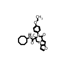 CCOc1ccc(N2C(=O)c3cc4occc4n3CC2(C)C(=O)NC2CCCCCCC2)cc1